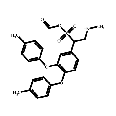 CNCC(c1ccc(Oc2ccc(C)cc2)c(Oc2ccc(C)cc2)c1)S(=O)(=O)OC=O